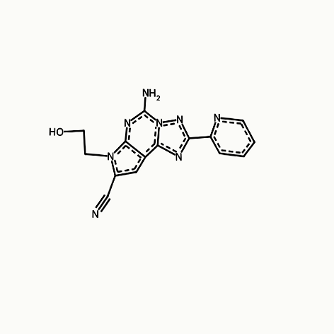 N#Cc1cc2c(nc(N)n3nc(-c4ccccn4)nc23)n1CCO